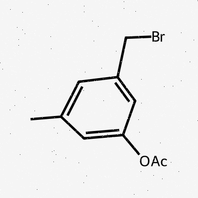 CC(=O)Oc1cc(C)cc(CBr)c1